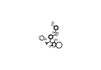 C1COCCN1.CCOc1cccc(S(=O)(=O)Nc2cccc(C(c3c(O)c4c(oc3=O)CCCCCC4)C3CC3)c2)c1